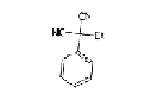 [CH2]CC(C#N)(C#N)c1ccccc1